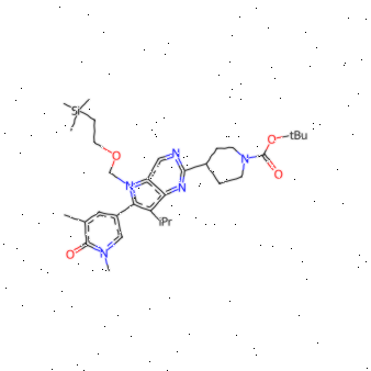 Cc1cc(-c2c(C(C)C)c3nc(C4CCN(C(=O)OC(C)(C)C)CC4)ncc3n2COCC[Si](C)(C)C)cn(C)c1=O